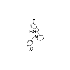 COc1cccc(CN2CCCCC2c2cc3cc(F)ccc3[nH]2)c1